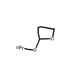 CCCO[C]1CCO1